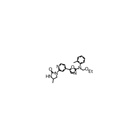 CCOCN(c1ncc(-c2ccnc(N3CC(C)NC3=O)c2)o1)c1ccccc1C